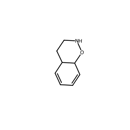 C1=CC2CCNOC2C=C1